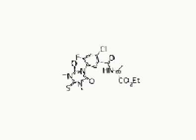 CCOC(=O)[C@@H](C)NC(=O)c1cc(-n2c(=O)n(C)c(=S)n(C)c2=O)c(F)cc1Cl